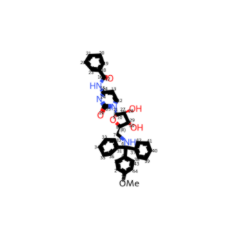 COc1ccc(C(NC[C@H]2O[C@@H](n3ccc(NC(=O)c4ccccc4)nc3=O)[C@@H](O)C2O)(c2ccccc2)c2ccccc2)cc1